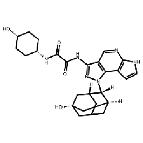 O=C(Nc1nn([C@H]2[C@@H]3CC4C[C@H]2C[C@@](O)(C4)C3)c2c1cnc1[nH]ccc12)C(=O)N[C@H]1CC[C@@H](O)CC1